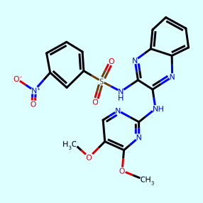 COc1cnc(Nc2nc3ccccc3nc2NS(=O)(=O)c2cccc([N+](=O)[O-])c2)nc1OC